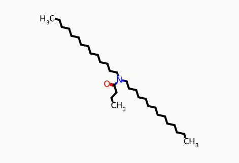 CCCCCCCCCCCCCCN(CCCCCCCCCCCCCC)C(=O)CCC